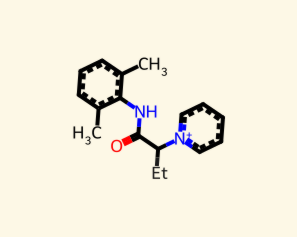 CCC(C(=O)Nc1c(C)cccc1C)[n+]1ccccc1